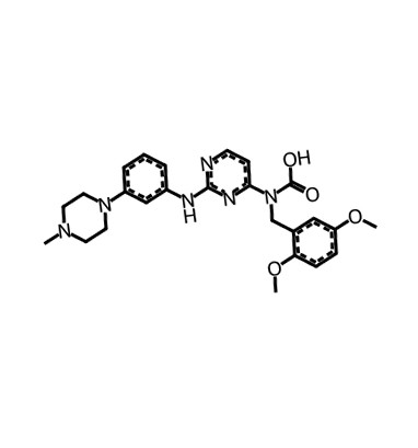 COc1ccc(OC)c(CN(C(=O)O)c2ccnc(Nc3cccc(N4CCN(C)CC4)c3)n2)c1